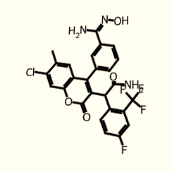 Cc1cc2c(-c3cccc(/C(N)=N\O)c3)c(C(C(N)=O)c3ccc(F)cc3C(F)(F)F)c(=O)oc2cc1Cl